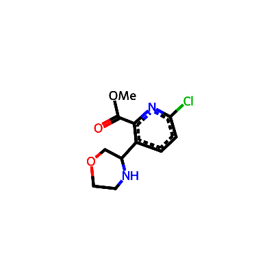 COC(=O)c1nc(Cl)ccc1C1COCCN1